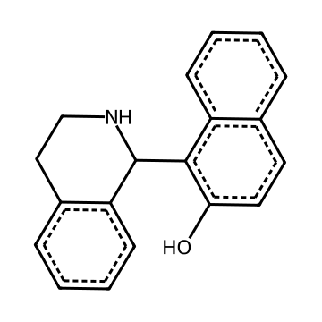 Oc1ccc2ccccc2c1C1NCCc2ccccc21